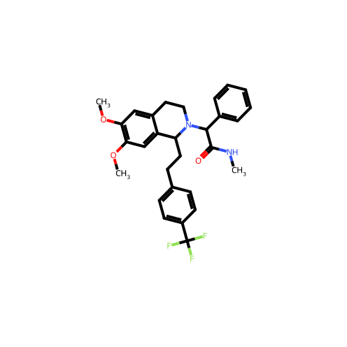 CNC(=O)C(c1ccccc1)N1CCc2cc(OC)c(OC)cc2C1CCc1ccc(C(F)(F)F)cc1